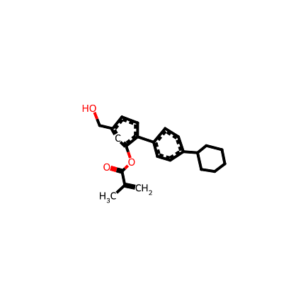 C=C(C)C(=O)Oc1cc(CO)ccc1-c1ccc(C2CCCCC2)cc1